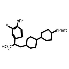 CCCCCC1CCC(C2CCC(CC(C(=O)O)c3ccc(CCC)c(F)c3)CC2)CC1